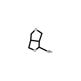 CC(C)(C)C1OCC2COCC21